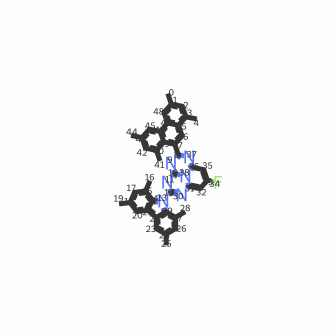 Cc1cc(C)c2cc(C3=NC4=NC(n5c6c(C)cc(C)cc6c6cc(C)cc(C)c65)=NC5=CC(F)=CC(=N3)N54)c3c(C)cc(C)cc3c2c1